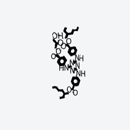 CCCCC(CC)COC(=O)c1ccc(Nc2nc(Nc3ccc(C(=O)OCC(=O)CO)cc3)nc(Nc3ccc(C(=O)OCC(CC)CCCC)cc3)n2)cc1